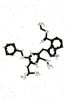 CCOC(=O)c1cccc2[nH]cc(Cc3nc(OCc4ccccc4)c(CC(C)C)nc3OC)c12